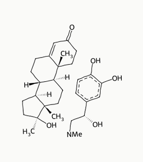 CNC[C@@H](O)c1ccc(O)c(O)c1.C[C@]12CCC(=O)C=C1CC[C@@H]1[C@@H]2CC[C@@]2(C)[C@H]1CC[C@]2(C)O